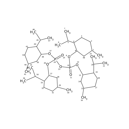 CC1CCC(C(C)C)C(OP(=O)(OC2CC(C)CCC2C(C)C)OP(=O)(OC2CC(C)CCC2C(C)C)OC2CC(C)CCC2C(C)C)C1